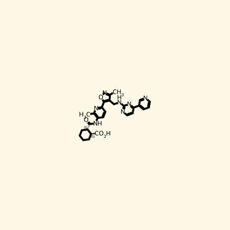 Cc1nc(-c2onc(C)c2CNc2nccc(-c3cccnc3)n2)ccc1NC(=O)[C@H]1CCCC[C@@H]1C(=O)O